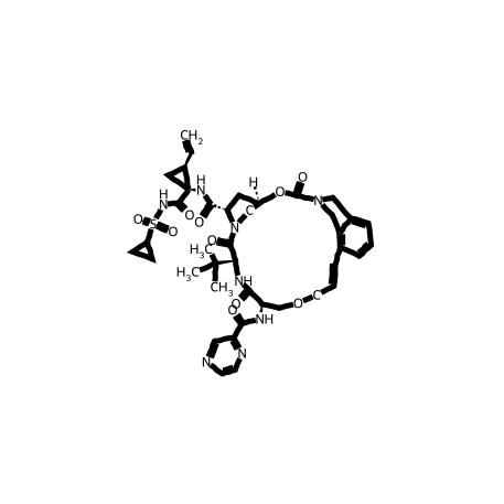 C=C[C@@H]1C[C@]1(NC(=O)[C@@H]1C[C@@H]2CN1C(=O)[C@H](C(C)(C)C)NC(=O)[C@@H](NC(=O)c1cnccn1)COC/C=C/c1cccc3c1CN(C3)C(=O)O2)C(=O)NS(=O)(=O)C1CC1